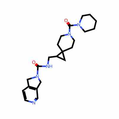 O=C(NCC1CC12CCN(C(=O)N1CCCCC1)CC2)N1Cc2ccncc2C1